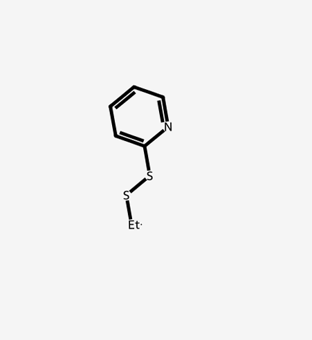 C[CH]SSc1ccccn1